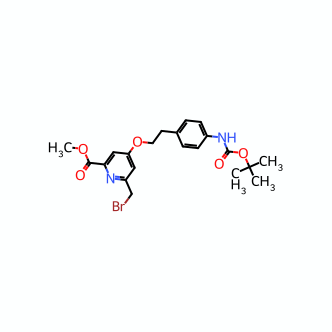 COC(=O)c1cc(OCCc2ccc(NC(=O)OC(C)(C)C)cc2)cc(CBr)n1